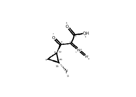 [N-]=[N+]=C(C(=O)O)C(=O)[C@@H]1C[C@H]1F